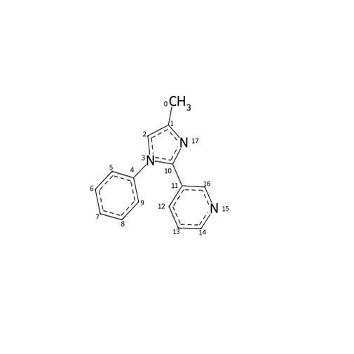 Cc1cn(-c2ccccc2)c(-c2cccnc2)n1